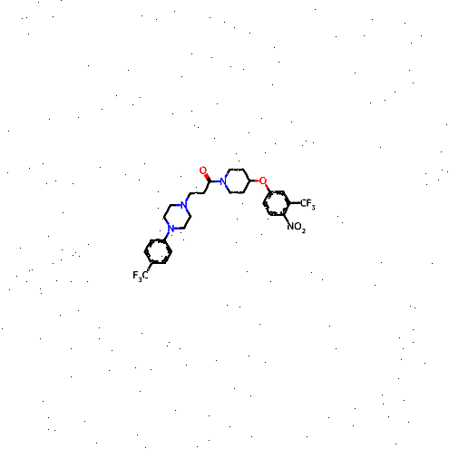 O=C(CCN1CCN(c2ccc(C(F)(F)F)cc2)CC1)N1CCC(Oc2ccc([N+](=O)[O-])c(C(F)(F)F)c2)CC1